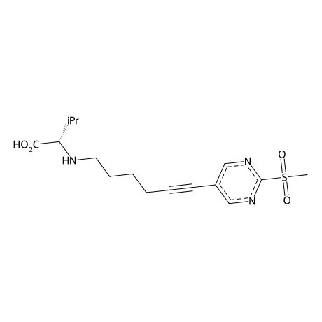 CC(C)[C@H](NCCCCC#Cc1cnc(S(C)(=O)=O)nc1)C(=O)O